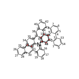 c1ccc(-c2ccccc2-c2ccc(N(c3ccccc3-c3ccc4ccccc4c3)c3ccccc3-c3cc4ccccc4c4ccccc34)cc2)cc1